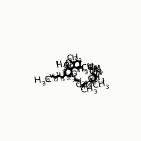 C=C(C)C1CCC(C)=CC1c1c(O)cc(CCCCC)cc1OCCOC(C)COC(C)(C)Cc1cn(C)nn1